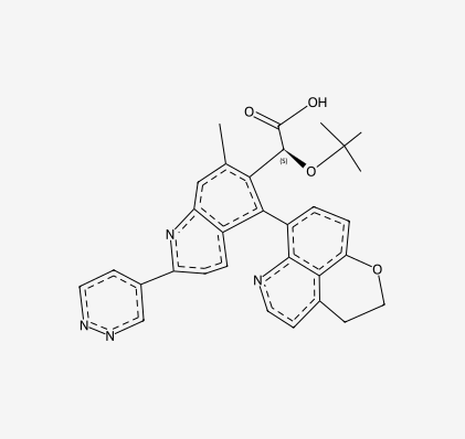 Cc1cc2nc(-c3ccnnc3)ccc2c(-c2ccc3c4c(ccnc24)CCO3)c1[C@H](OC(C)(C)C)C(=O)O